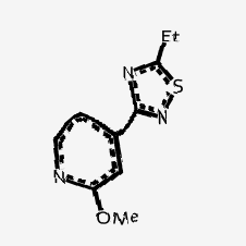 CCc1nc(-c2ccnc(OC)c2)ns1